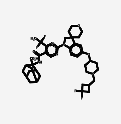 CC(F)(F)c1nc(N2CC3(CCOCC3)c3cc(OC4CCN(CC5CC(F)(F)C5)CC4)ccc32)ncc1C(=O)NC1(C(=O)O)C2CC3CC(C2)CC1C3